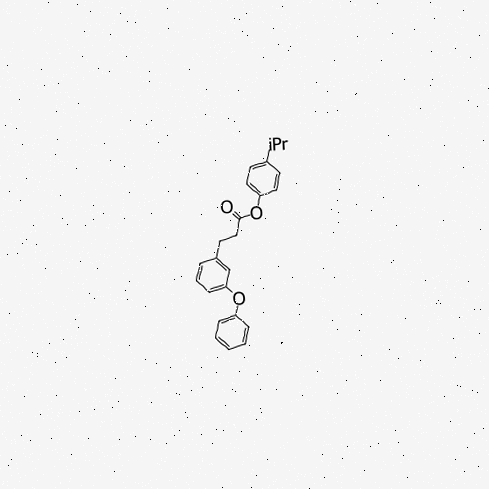 CC(C)c1ccc(OC(=O)CCc2cccc(Oc3ccccc3)c2)cc1